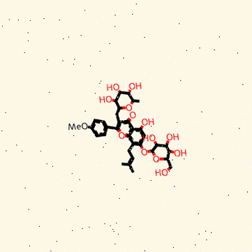 COc1ccc(-c2oc3c(CC=C(C)C)c(OC4OC(CO)C(O)C(O)C4O)cc(O)c3c(=O)c2CC2OC(C)C(O)C(O)C2O)cc1